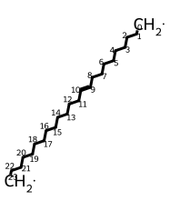 [CH2]CCCCCCCCC=CCCCCCCCCCCCC[CH2]